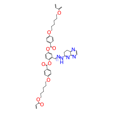 C=CC(=C)OCCCCCCOc1ccc(C(=O)Oc2ccc(OC(=O)c3ccc(OCCCCCCOC(=O)C=C)cc3)c(/C=N/NC3=Nc4nccnc4CC3)c2)cc1